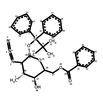 C[C@@H]1C(N=[N+]=[N-])[C@H](O[Si](c2ccccc2)(c2ccccc2)C(C)(C)C)OC(COC(=O)c2ccccc2)[C@H]1O